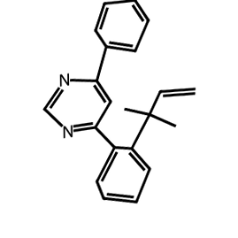 C=CC(C)(C)c1ccccc1-c1cc(-c2ccccc2)ncn1